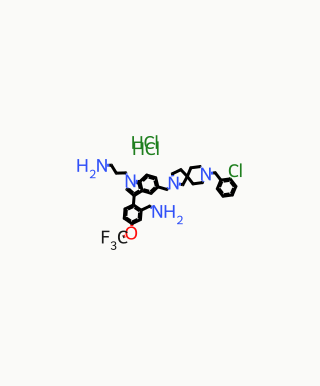 Cl.Cl.NCCCn1cc(-c2ccc(OC(F)(F)F)cc2CN)c2cc(CN3CCC4(CCN(Cc5ccccc5Cl)CC4)C3)ccc21